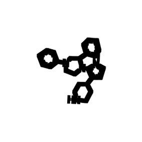 c1ccc(C2CN(c3ccccc3)CCN2c2[nH]ccc2C2CCNCC2)cc1